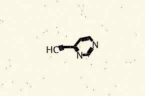 C#Cc1ccn[c]n1